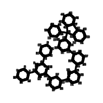 c1ccc(-c2nc(-c3ccccc3)nc(-c3cccc(-c4cccc(-c5cccc(-c6cccc(C7(c8ccccc8)c8ccccc8-c8ccccc87)c6)c5)n4)c3)n2)cc1